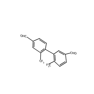 O=Cc1ccc(C(F)(F)F)c(-c2ccc(C=O)cc2C(F)(F)F)c1